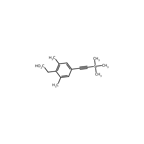 Cc1cc(C#C[Si](C)(C)C)cc(C)c1CC(=O)O